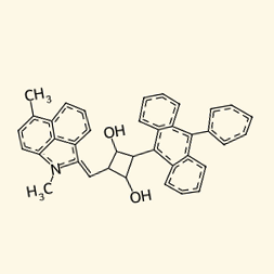 Cc1ccc2c3c1cccc3/c(=C\C1C(O)C(c3c4ccccc4c(-c4ccccc4)c4ccccc34)C1O)n2C